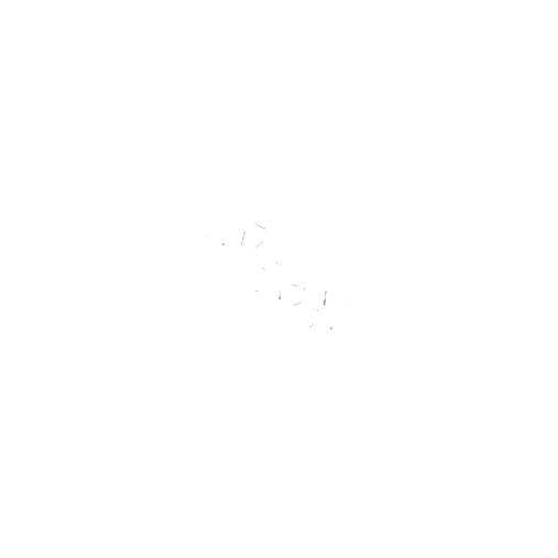 CC(C)(C)OC(=O)N(Cc1cccc(O[Si](C)(C)C(C)(C)C)c1)Cc1cccc(N(C(=O)O)C(=O)OC(C)(C)C)n1